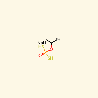 CCC(C)OP(=O)(S)S.[NaH]